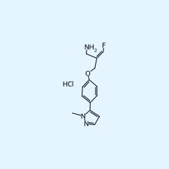 Cl.Cn1nccc1-c1ccc(OC/C(=C/F)CN)cc1